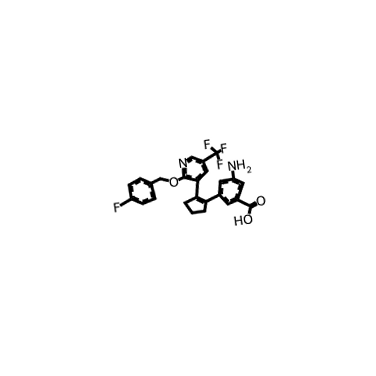 Nc1cc(C(=O)O)cc(C2=C(c3cc(C(F)(F)F)cnc3OCc3ccc(F)cc3)CCC2)c1